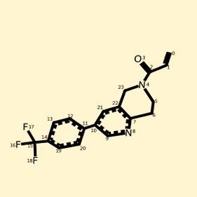 C=CC(=O)N1CCc2ncc(-c3ccc(C(F)(F)F)cc3)cc2C1